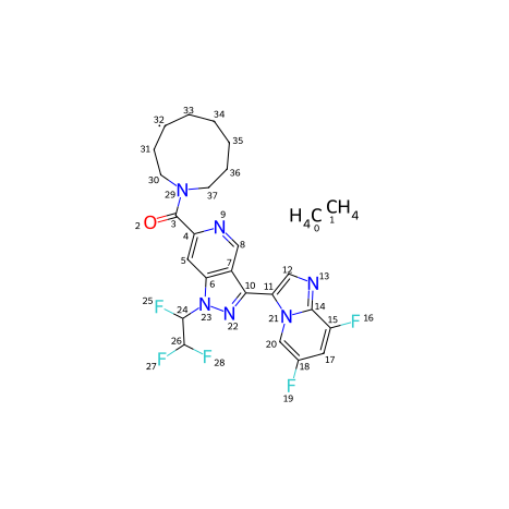 C.C.O=C(c1cc2c(cn1)c(-c1cnc3c(F)cc(F)cn13)nn2C(F)C(F)F)N1CC[CH]CCCCC1